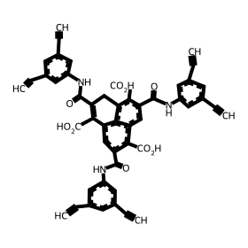 C#Cc1cc(C#C)cc(NC(=O)C2=C(C(=O)O)c3cc(C(=O)Nc4cc(C#C)cc(C#C)c4)c(C(=O)O)c4cc(C(=O)Nc5cc(C#C)cc(C#C)c5)c(C(=O)O)c(c34)C2)c1